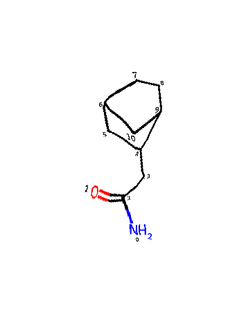 NC(=O)[CH]C1CC2CCC1C2